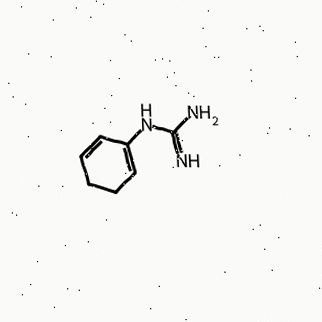 N=C(N)NC1=CCCC=C1